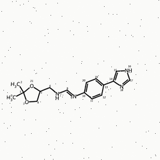 CC1(C)OCC(CNC=Nc2ccc(-c3c[nH]cn3)cc2)O1